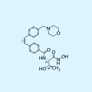 C[C@@H](O)[C@H](NC(=O)c1ccc(/C=C\c2ccc(CN3CCOCC3)cc2)cc1)C(=O)NO